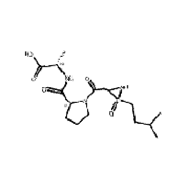 CC(C)CCP1(=O)NC1C(=O)N1CCC[C@H]1C(=O)N[C@@H](C)C(=O)O